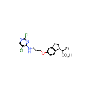 CCC(C(=O)O)[C@@H]1CCc2cc(OCCCNc3nc(Cl)ncc3Cl)ccc21